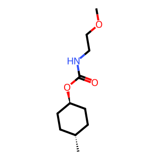 COCCNC(=O)O[C@H]1CC[C@H](C)CC1